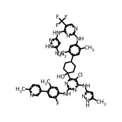 Cc1ccc(-c2cc(F)c(Nc3nc(Nc4cc(C)[nH]n4)c(Cl)c(C4(O)CCC(c5cc(C)c(Nc6ncc(C(F)(F)F)c(Nc7cc(C)[nH]n7)n6)cc5C)CC4)n3)cc2C)cn1